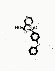 O=C(O)C1CSCCN1S(=O)(=O)c1ccc(Oc2ccccc2)cc1